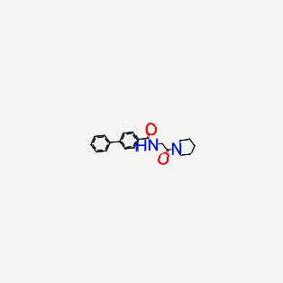 O=C(NCC(=O)N1CCCCC1)c1ccc(-c2ccccc2)cc1